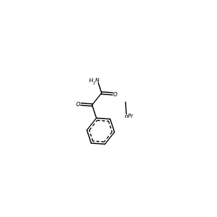 CCCC.NC(=O)C(=O)c1ccccc1